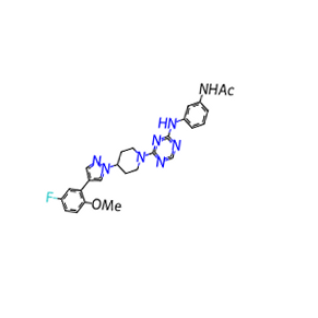 COc1ccc(F)cc1-c1cnn(C2CCN(c3ncnc(Nc4cccc(NC(C)=O)c4)n3)CC2)c1